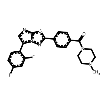 CN1CCN(C(=O)c2ccc(-c3nn4c(-c5ccc(F)cc5F)cnc4s3)cc2)CC1